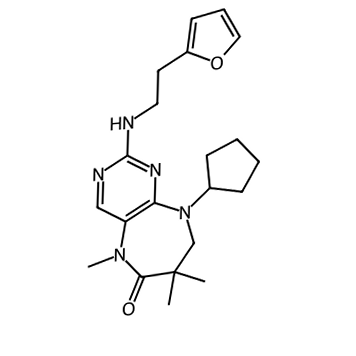 CN1C(=O)C(C)(C)CN(C2CCCC2)c2nc(NCCc3ccco3)ncc21